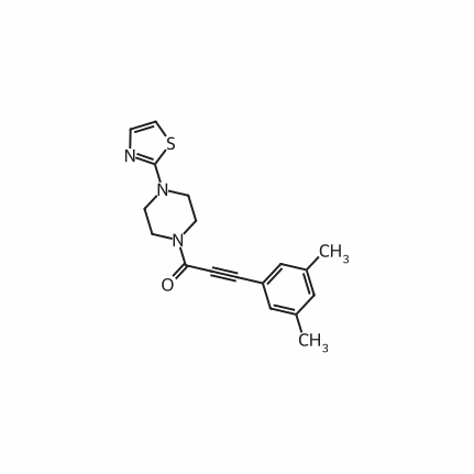 Cc1cc(C)cc(C#CC(=O)N2CCN(c3nccs3)CC2)c1